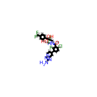 Nc1nc2cc(-c3ccc(Cl)c(C(=O)NCC(F)(F)C(O)(O)c4ccc(C(F)F)cc4)c3F)ccn2n1